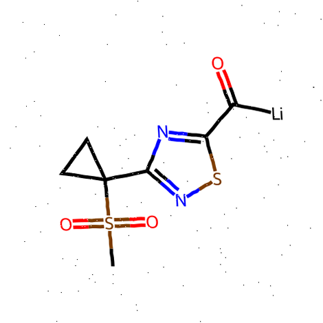 [Li][C](=O)c1nc(C2(S(C)(=O)=O)CC2)ns1